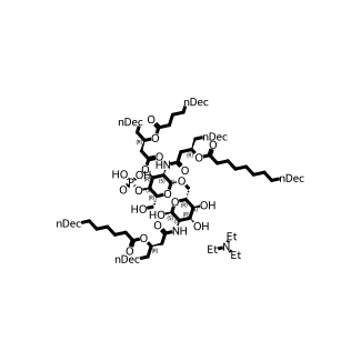 CCCCCCCCCCCCCCCCCC(=O)O[C@H](CCCCCCCCCCC)CC(=O)N[C@@H]1[C@H](OC[C@H]2O[C@H](O)[C@@H](NC(=O)C[C@@H](CCCCCCCCCCC)OC(=O)CCCCCCCCCCCCCCC)[C@@H](O)[C@@H]2O)O[C@H](CO)[C@@H](OP(=O)(O)O)[C@@H]1OC(=O)C[C@@H](CCCCCCCCCCC)OC(=O)CCCCCCCCCCCCC.CCN(CC)CC